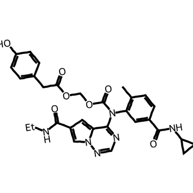 CCNC(=O)c1cc2c(N(C(=O)OCOC(=O)Cc3ccc(O)cc3)c3cc(C(=O)NC4CC4)ccc3C)ncnn2c1